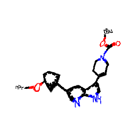 CCCOc1cccc(-c2cnc3[nH]cc(C4=CCN(C(=O)OC(C)(C)C)CC4)c3c2)c1